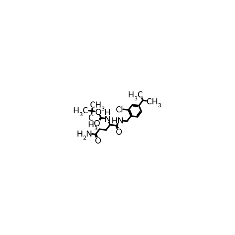 CC(C)c1ccc(CNC(=O)C(CCC(N)=O)NC(=O)OC(C)(C)C)c(Cl)c1